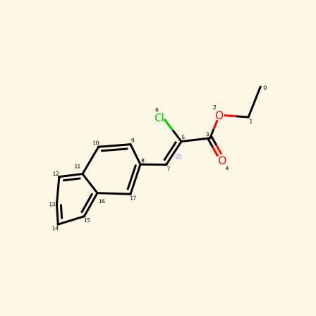 CCOC(=O)/C(Cl)=C/c1ccc2ccccc2c1